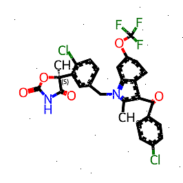 Cc1c(C(=O)c2ccc(Cl)cc2)c2ccc(OC(F)(F)F)cc2n1Cc1ccc(Cl)c([C@]2(C)OC(=O)NC2=O)c1